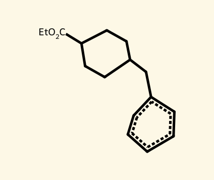 CCOC(=O)C1CCC(Cc2ccccc2)CC1